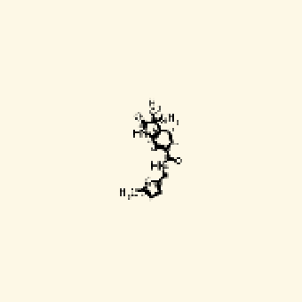 Cc1ccc(CNC(=O)c2ccc3c(c2)NC(=O)C3(C)C)o1